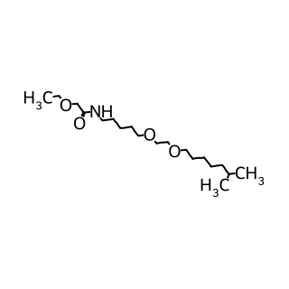 CCOCC(=O)NCCCCCOCCOCCCCCC(C)C